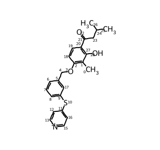 Cc1c(OCc2cccc(Sc3ccncc3)c2)ccc(C(=O)CC(C)C)c1O